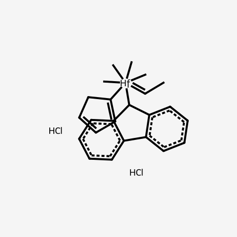 C[CH]=[Hf]([CH3])([CH3])([CH3])([CH3])([C]1=CC=CC1)[CH]1c2ccccc2-c2ccccc21.Cl.Cl